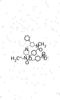 C=CCN(C(=O)OCc1ccc([N+](=O)[O-])cc1)C1CCN(C[C@H]2C[C@@H](N(C)C(=O)c3ccc(F)cc3)C[C@@H]2c2ccccc2)CC1